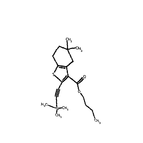 CCCCOC(=O)c1c(C#C[Si](C)(C)C)sc2c1CC(C)(C)CC2